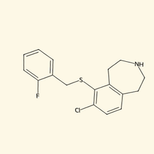 Fc1ccccc1CSc1c(Cl)ccc2c1CCNCC2